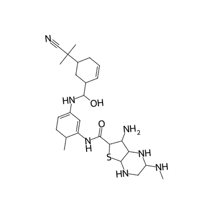 CNC1CNC2SC(C(=O)NC3=CC(NC(O)C4C=CCC(C(C)(C)C#N)C4)=CCC3C)C(N)C2N1